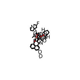 COCOc1cc(-c2nc3c4c(nc(OC[C@@]56CCCN5C[C@H](F)C6)nc4c2F)N2C[C@@H]4CC[C@H]([C@@H]2CO3)N4C(=O)OC(C)(C)C)c2c(C#C[Si](C(C)C)(C(C)C)C(C)C)cccc2c1